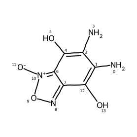 Nc1c(N)c(O)c2c(no[n+]2[O-])c1O